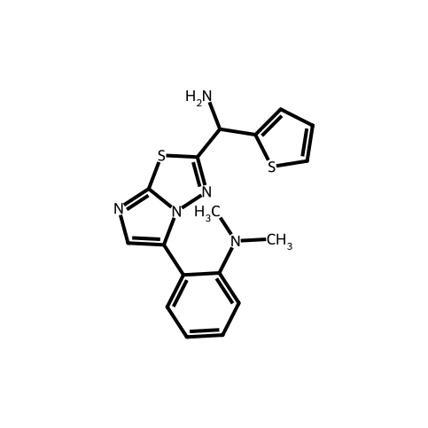 CN(C)c1ccccc1-c1cnc2sc(C(N)c3cccs3)nn12